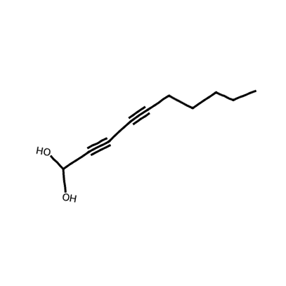 CCCCCC#CC#CC(O)O